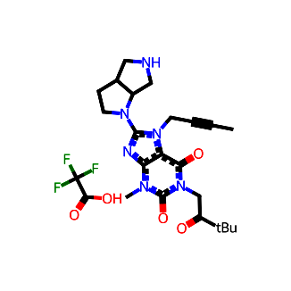 CC#CCn1c(N2CCC3CNCC32)nc2c1c(=O)n(CC(=O)C(C)(C)C)c(=O)n2C.O=C(O)C(F)(F)F